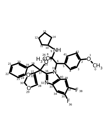 COc1ccc(C(C(=O)NC2CCCC2)n2c(C(Cc3ccccc3)(OC)C3=COCO3)nc3cc(F)c(F)cc32)cc1